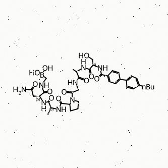 CCCCc1ccc(-c2ccc(C(=O)N[C@H](CO)C(=O)NC(C)C(=O)NCC(=O)N3CCCC3C(=O)N[C@@H](C)C(=O)N[C@@H](CC(N)=O)C(=O)NCB(O)O)cc2)cc1